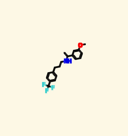 COc1cccc(C(C)NCCCc2ccc(C(F)(F)F)cc2)c1